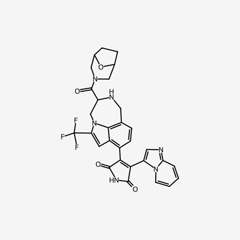 O=C1NC(=O)C(c2cnc3ccccn23)=C1c1ccc2c3c1cc(C(F)(F)F)n3CC(C(=O)N1CC3CCC(C1)O3)NC2